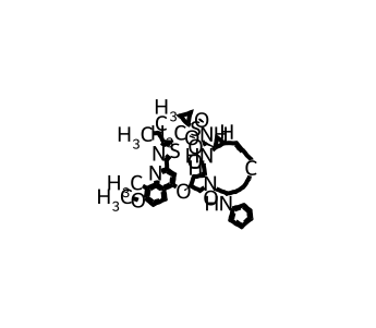 COc1ccc2c(O[C@@H]3C[C@H]4C(=O)N[C@]5(C(=O)NS(=O)(=O)C6(C)CC6)C[C@H]5/C=C\CCCCC[C@H](Nc5ccccc5)C(=O)N4C3)cc(-c3nc(C(C)C)cs3)nc2c1C